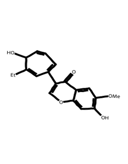 CCC1=CC(c2coc3cc(O)c(OC)cc3c2=O)=CC=CC1O